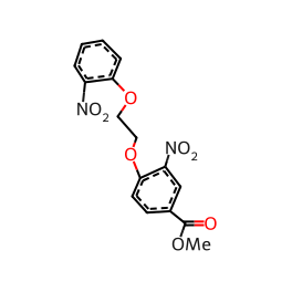 COC(=O)c1ccc(OCCOc2ccccc2[N+](=O)[O-])c([N+](=O)[O-])c1